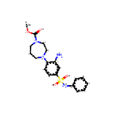 CC(C)(C)OC(=O)N1CCCN(c2ccc(S(=O)(=O)Nc3ccccc3)cc2N)CC1